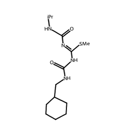 CSC(=NC(=O)NC(C)C)NC(=O)NCC1CCCCC1